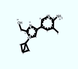 Cc1cc(-c2cn(C34CC(C3)C4)c(CO)n2)cnc1N